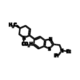 CCN(Cc1nc2cc(C3=CC[C@H](C)CN3C(=O)O)ccc2s1)C(C)C